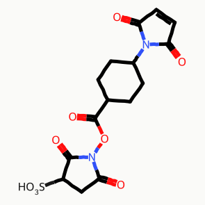 O=C(ON1C(=O)CC(S(=O)(=O)O)C1=O)C1CCC(N2C(=O)C=CC2=O)CC1